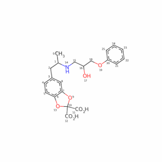 CC(Cc1ccc2c(c1)OC(C(=O)O)(C(=O)O)O2)NCC(O)COc1ccccc1